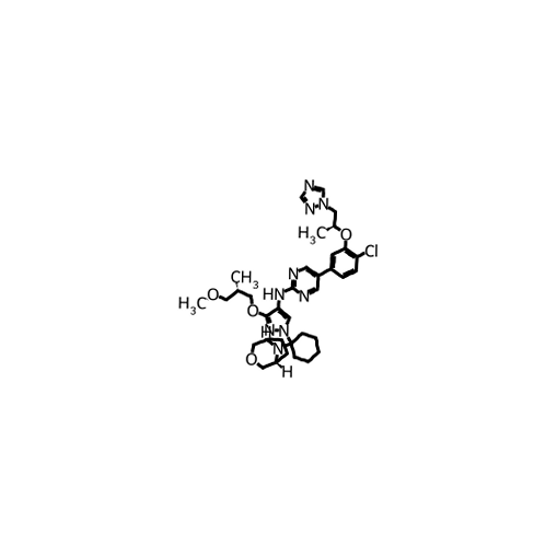 COC[C@H](C)COc1nn(C2(N3[C@@H]4CC[C@H]3COC4)CCCCC2)cc1Nc1ncc(-c2ccc(Cl)c(O[C@@H](C)Cn3cncn3)c2)cn1